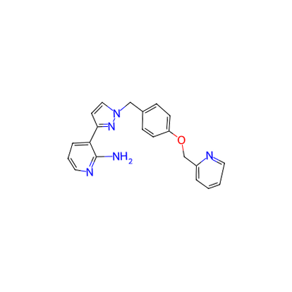 Nc1ncccc1-c1ccn(Cc2ccc(OCc3ccccn3)cc2)n1